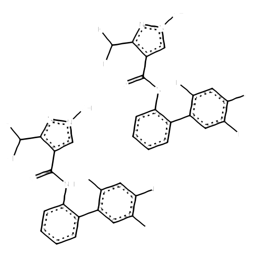 Cn1cc(C(=O)Nc2ccccc2-c2cc(F)c(F)cc2F)c(C(F)Cl)n1.Cn1cc(C(=O)Nc2ccccc2-c2cc(F)c(F)cc2F)c(C(F)F)n1